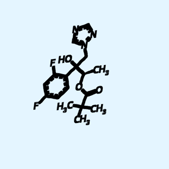 C[C@@H](OC(=O)C(C)(C)C)C(O)(Cn1cncn1)c1ccc(F)cc1F